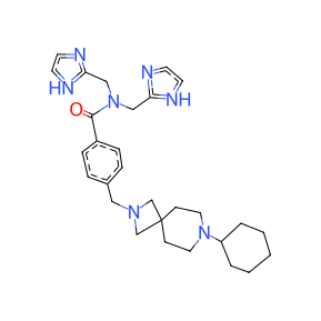 O=C(c1ccc(CN2CC3(CCN(C4CCCCC4)CC3)C2)cc1)N(Cc1ncc[nH]1)Cc1ncc[nH]1